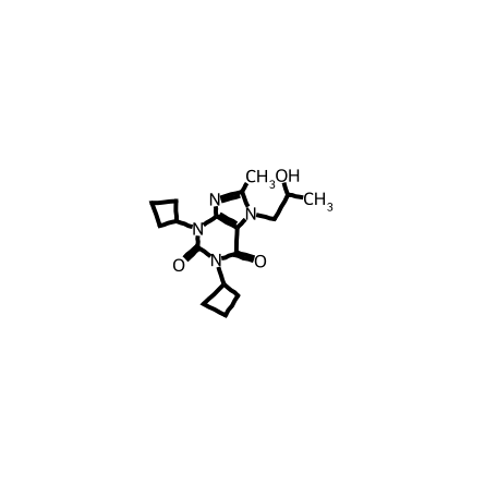 Cc1nc2c(c(=O)n(C3CCC3)c(=O)n2C2CCC2)n1CC(C)O